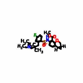 CCN(CC)CC(C)(C)Cc1cc(F)ccc1[S+]([O-])Nc1ccc2c(c1C(=O)OC)OC[C@@H]1C[C@H]21